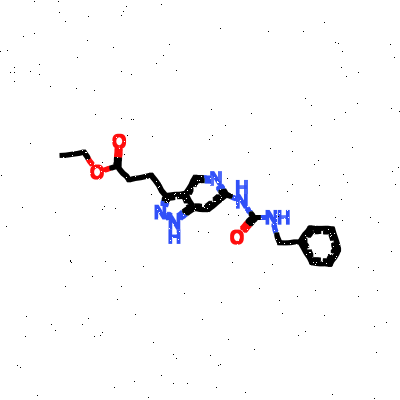 CCOC(=O)CCc1n[nH]c2cc(NC(=O)NCc3ccccc3)ncc12